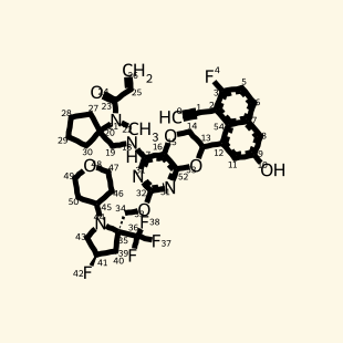 C#Cc1c(F)ccc2cc(O)cc(C3COc4c(NCC5(N(C)C(=O)C=C)CCCC5)nc(OC[C@]5(C(F)(F)F)C[C@@H](F)CN5C5CCOCC5)nc4O3)c12